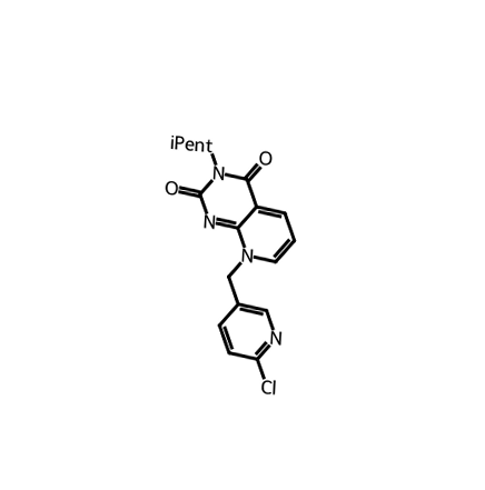 CCCC(C)n1c(=O)nc2n(Cc3ccc(Cl)nc3)cccc-2c1=O